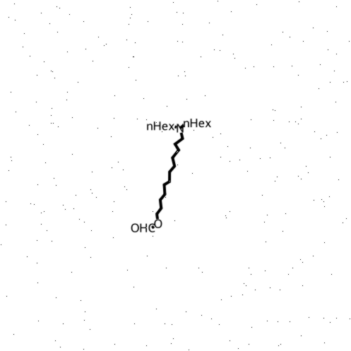 CCCCCCN(CCCCCC)CCCCCCCCCCCCOC=O